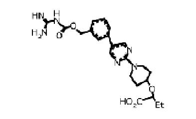 CCC(OC1CCN(c2ncc(-c3cccc(COC(=O)NC(=N)N)c3)cn2)CC1)C(=O)O